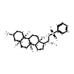 C[C@H]1CC[C@@H]2C3CC[C@@]4(C)C(CCC4[C@@H](C)NS(=O)(=O)c4ccccc4)[C@@H]3CC[C@@H]2C1